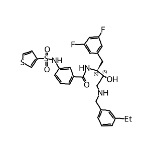 CCc1cccc(CNC[C@H](O)[C@H](Cc2cc(F)cc(F)c2)NC(=O)c2cccc(NS(=O)(=O)c3ccsc3)c2)c1